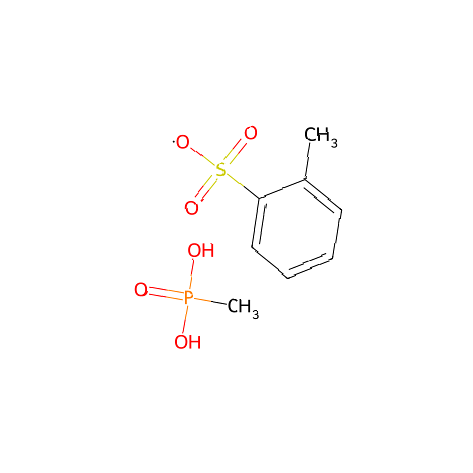 CP(=O)(O)O.Cc1ccccc1S([O])(=O)=O